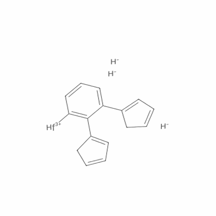 [H-].[H-].[H-].[Hf+3][c]1cccc(C2=CC=CC2)c1C1=CC=CC1